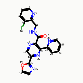 O=C(NCc1ncccc1F)c1ncc(-c2ncco2)nc1-c1ccccn1